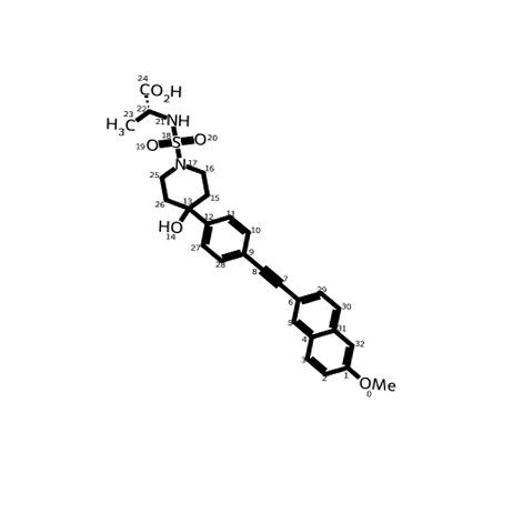 COc1ccc2cc(C#Cc3ccc(C4(O)CCN(S(=O)(=O)N[C@H](C)C(=O)O)CC4)cc3)ccc2c1